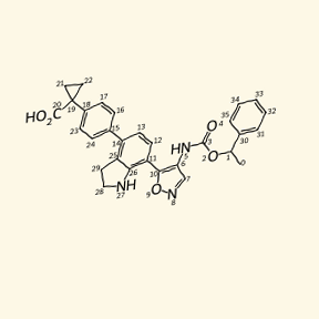 CC(OC(=O)Nc1cnoc1-c1ccc(-c2ccc(C3(C(=O)O)CC3)cc2)c2c1NCC2)c1ccccc1